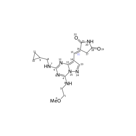 COCCNc1nc(NCC2CC2)nc2c(/C=C3\CC(=O)NC3=O)cnn12